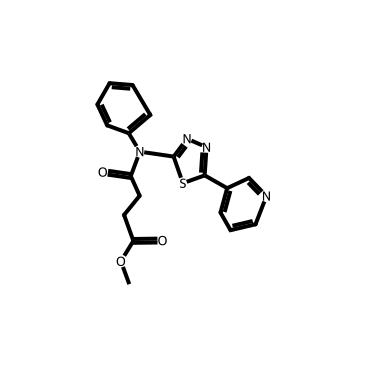 COC(=O)CCC(=O)N(c1ccccc1)c1nnc(-c2cccnc2)s1